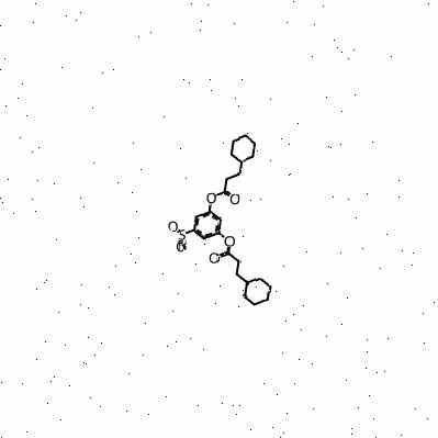 O=C(CCC1CCCCC1)Oc1cc(OC(=O)CCC2CCCCC2)cc([SH](=O)=O)c1